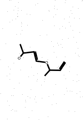 C=CC(C)OC=CC(C)[O]